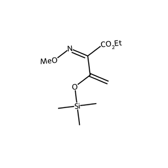 C=C(O[Si](C)(C)C)C(=NOC)C(=O)OCC